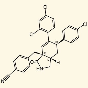 N#Cc1ccc(C[C@@]23C=C(c4ccc(Cl)cc4Cl)[C@@H](c4ccc(Cl)cc4)C[C@@H]2CNC3=O)cc1